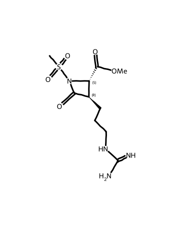 COC(=O)[C@@H]1[C@@H](CCCNC(=N)N)C(=O)N1S(C)(=O)=O